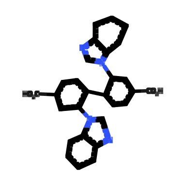 O=C(O)c1ccc(-c2ccc(C(=O)O)cc2-n2cnc3ccccc32)c(-n2cnc3ccccc32)c1